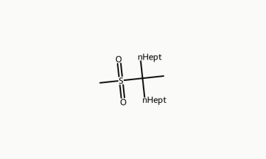 CCCCCCCC(C)(CCCCCCC)S(C)(=O)=O